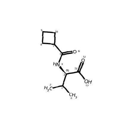 CC(C)[C@@H](NC(=O)C1CCC1)C(=O)O